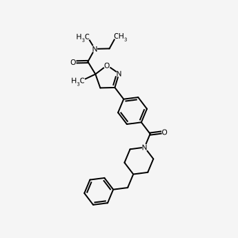 CCN(C)C(=O)C1(C)CC(c2ccc(C(=O)N3CCC(Cc4ccccc4)CC3)cc2)=NO1